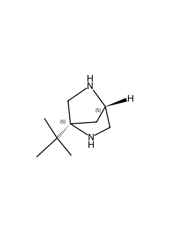 CC(C)(C)[C@@]12CN[C@H](CN1)C2